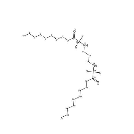 CCCCCCCCCC(=O)C(C)(C)NCCCNC(C)(C)C(=O)CCCCCCCCC